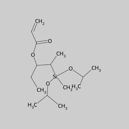 C=CC(=O)OC(CC)C(C)[Si](C)(OC(C)C)OC(C)C